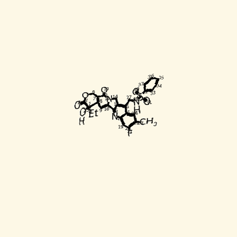 CC[C@@]1(O)C(=O)OCc2c1cc1n(c2=O)Cc2c-1nc1cc(F)c(C)cc1c2CNS(=O)(=O)c1ccccc1